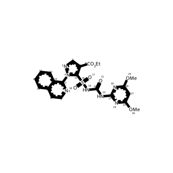 CCOC(=O)c1cnn(-c2nccc3ccccc23)c1S(=O)(=O)NC(=O)Nc1nc(OC)cc(OC)n1